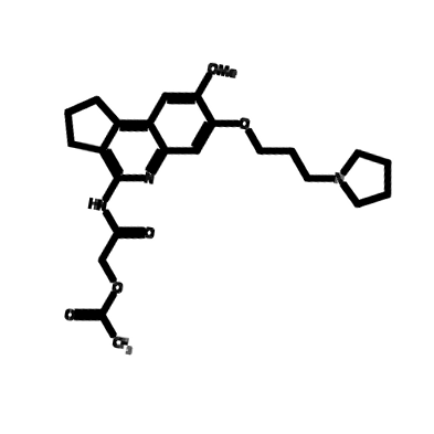 COc1cc2c3c(c(NC(=O)COC(=O)C(F)(F)F)nc2cc1OCCCN1CCCC1)CCC3